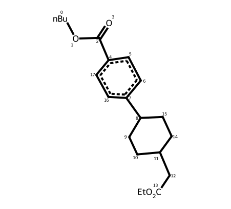 CCCCOC(=O)c1ccc(C2CCC(CC(=O)OCC)CC2)cc1